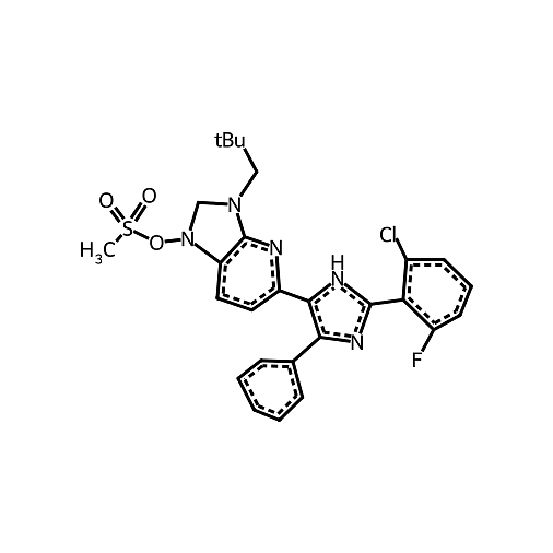 CC(C)(C)CN1CN(OS(C)(=O)=O)c2ccc(-c3[nH]c(-c4c(F)cccc4Cl)nc3-c3ccccc3)nc21